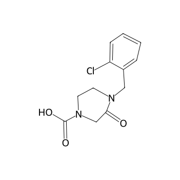 O=C(O)N1CCN(Cc2ccccc2Cl)C(=O)C1